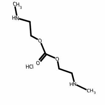 CNCCOC(=O)OCCNC.Cl